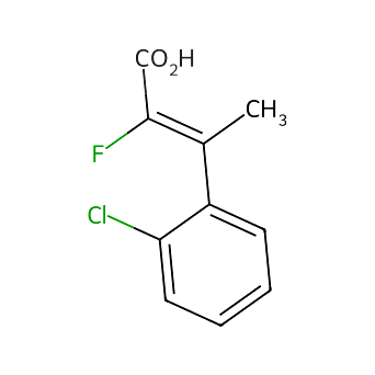 CC(=C(F)C(=O)O)c1ccccc1Cl